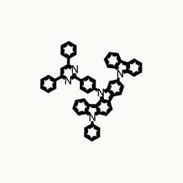 c1ccc(-c2cc(-c3ccccc3)nc(-c3ccc(-n4c5cc(-n6c7ccccc7c7ccccc76)ccc5c5ccc6c(c7ccccc7n6-c6ccccc6)c54)cc3)n2)cc1